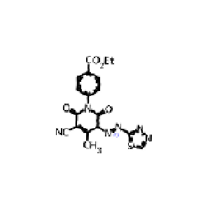 CCOC(=O)c1ccc(N2C(=O)C(C#N)=C(C)C(/N=N/c3nncs3)C2=O)cc1